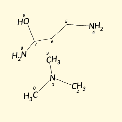 CN(C)C.NCCC(N)O